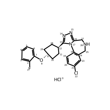 Cl.Fc1ccccc1O[C@H]1CC[C@H](c2nnc3n2-c2ccc(Cl)cc2CNC3)CC1